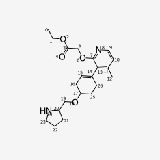 CCOC(=O)COc1nccc(C)c1C1=CCC(OCC2CCCN2)CC1